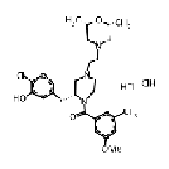 COc1cc(C(=O)N2CCN(CCN3C[C@@H](C)O[C@@H](C)C3)C[C@H]2Cc2ccc(Cl)c(O)c2)cc(C(F)(F)F)c1.Cl.Cl